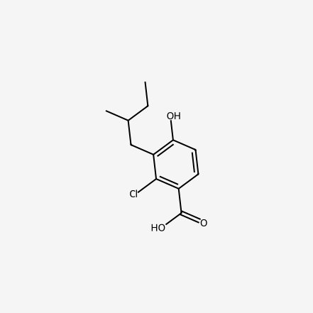 CCC(C)Cc1c(O)ccc(C(=O)O)c1Cl